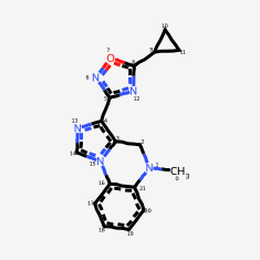 CN1Cc2c(-c3noc(C4CC4)n3)ncn2-c2ccccc21